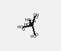 O=C(O)CCCCCCC(CCCCCCC(=O)O)(CCCCCCC(=O)O)C(CO)(CO)CCO